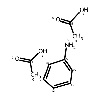 CC(=O)O.CC(=O)O.Nc1ccccc1